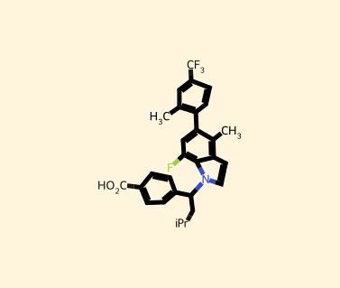 Cc1cc(C(F)(F)F)ccc1-c1cc(F)c2c(ccn2C(CC(C)C)c2ccc(C(=O)O)cc2)c1C